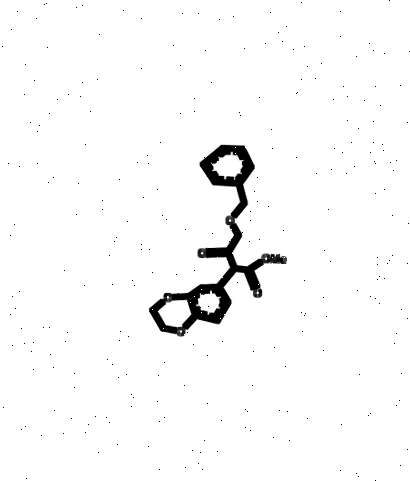 COC(=O)C(C(=O)COCc1ccccc1)c1ccc2c(c1)OCCO2